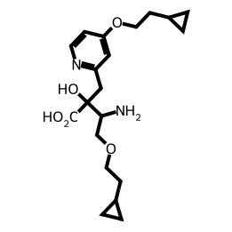 NC(COCCC1CC1)C(O)(Cc1cc(OCCC2CC2)ccn1)C(=O)O